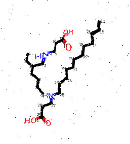 CCCCC(CC)CNCCC(=O)O.CCCCCCCCCCCCNCCC(=O)O